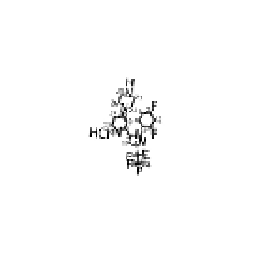 Cl.Fc1ccc(N2N=C(C(F)(F)C(F)(F)F)CC2c2cc(N3CCNCC3)ccn2)c(F)c1